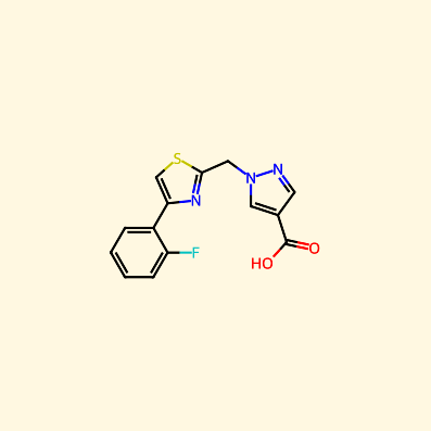 O=C(O)c1cnn(Cc2nc(-c3ccccc3F)cs2)c1